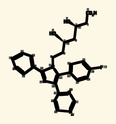 O=C(O)C[C@@H](O)C[C@@H](O)CCn1c(-c2ccccc2)nc(-c2ccncn2)c1-c1ccc(F)cc1